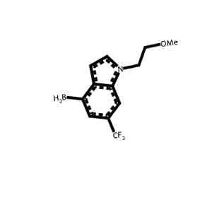 Bc1cc(C(F)(F)F)cc2c1ccn2CCOC